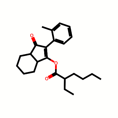 CCCCC(CC)C(=O)OC1=C(c2ccccc2C)C(=O)C2CCCCC12